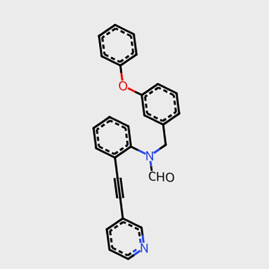 O=CN(Cc1cccc(Oc2ccccc2)c1)c1ccccc1C#Cc1cccnc1